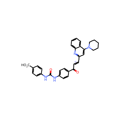 O=C(Nc1ccc(C(=O)O)cc1)Nc1ccc(C(=O)/C=C/c2cc(N3CCCCC3)c3ccccc3n2)cc1